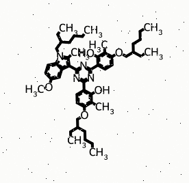 CCCCC(CC)COc1ccc(-c2nc(-c3ccc(OCC(CC)CCCC)c(C)c3O)nc(-c3c(C)n(CC(CC)CCCC)c4ccc(OC)cc34)n2)c(O)c1C